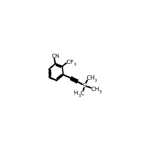 C[Si](C)(C)C#Cc1cccc(C#N)c1C(F)(F)F